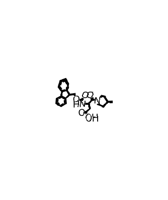 CC1CCN(C(=O)C(CC(=O)O)NC(=O)OCC2c3ccccc3-c3ccccc32)CC1